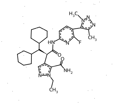 CCn1ncc([C@H](C(=O)Nc2ccc(-c3c(C)nnn3C)c(F)n2)C(C2CCCCC2)C2CCCCC2)c1C(N)=O